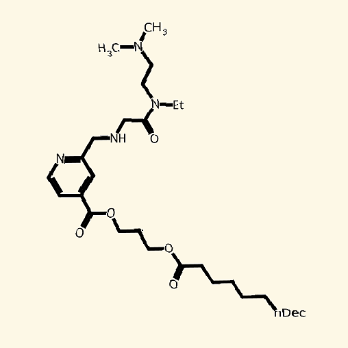 CCCCCCCCCCCCCCCC(=O)OC[CH]COC(=O)c1ccnc(CNCC(=O)N(CC)CCN(C)C)c1